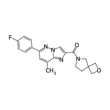 Cc1cc(-c2ccc(F)cc2)nn2cc(C(=O)N3CCC4(COC4)C3)nc12